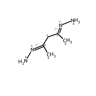 C/C(C/C(C)=N/N)=N\N